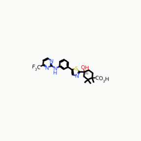 CC1(C)C[C@](O)(c2ncc(-c3cccc(Nc4nccc(C(F)(F)F)n4)c3)s2)CC[C@@]1(C)C(=O)O